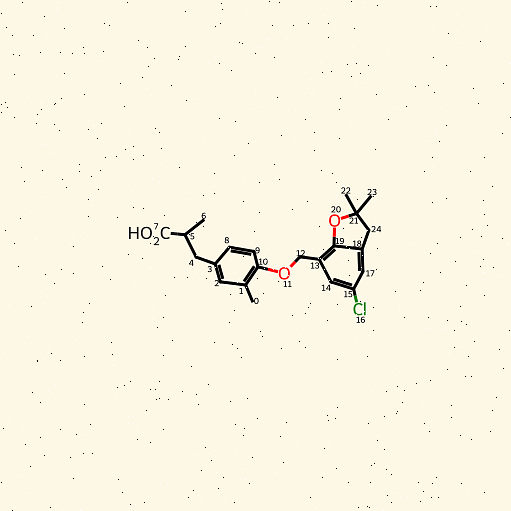 Cc1cc(CC(C)C(=O)O)ccc1OCc1cc(Cl)cc2c1OC(C)(C)C2